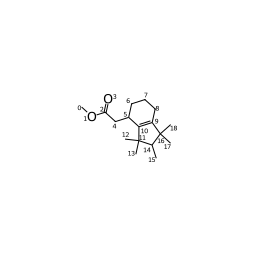 COC(=O)CC1CCCC2=C1C(C)(C)C(C)C2(C)C